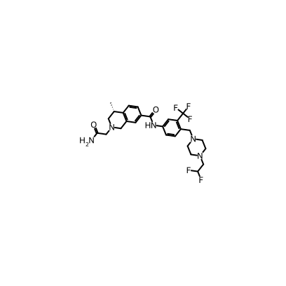 C[C@H]1CN(CC(N)=O)Cc2cc(C(=O)Nc3ccc(CN4CCN(CC(F)F)CC4)c(C(F)(F)F)c3)ccc21